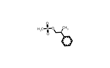 C[C@H](COS(C)(=O)=O)c1ccccc1